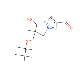 CC(CO)(CO[Si](C)(C)C(C)(C)C)Cn1cc(C=O)cn1